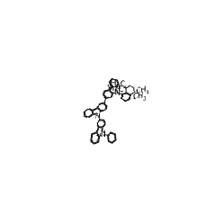 CC1(C)CCC(C)(C)c2c(-n3c4ccccc4c4ccc(-c5ccc6c(c5)c5ccccc5n6-c5ccc6c(c5)c5ccccc5n6-c5ccccc5)cc43)cccc21